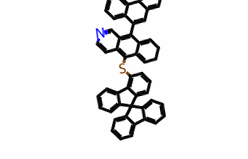 C1=c2c(Sc3cccc4c3-c3ccccc3C43c4ccccc4-c4ccccc43)c3ccncc3c(-c3cc4ccccc4c4ccccc34)c2=CCC1